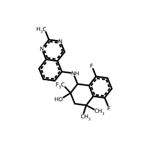 Cc1ncc2c(NC3c4c(F)ccc(F)c4C(C)(C)CC3(O)C(F)(F)F)cccc2n1